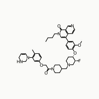 CCCCn1cc(-c2ccc(O[C@H]3CCN(CC4CCN(C(=O)COc5ccc(C)c(N6C=CCNC6)c5)CC4)C[C@@H]3F)c(OC)c2)c2ccncc2c1=O